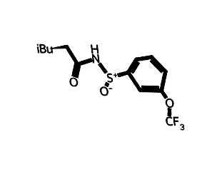 CC[C@H](C)CC(=O)N[S+]([O-])c1cccc(OC(F)(F)F)c1